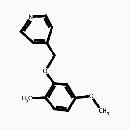 COc1ccc(C)c(OCc2ccncc2)c1